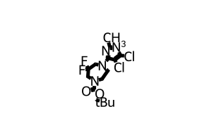 Cc1nc(Cl)c(Cl)c(N2CCN(C(=O)OC(C)(C)C)CC(F)(F)C2)n1